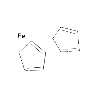 C1=CCC=C1.C1=CCC=C1.[Fe]